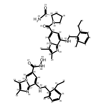 CCc1cccc(C)c1CNc1cc(C(=O)N2CCC[C@H]2C(N)=O)cn2c(C)c(C)nc12.CCc1cccc(C)c1CNc1cc(C(=O)NO)cn2c(C)c(C)nc12